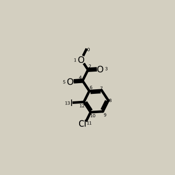 COC(=O)C(=O)c1cccc(Cl)c1I